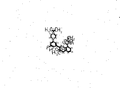 CC(C)N1CCN(c2cc(F)cc(C3Nc4c(cccc4C(=O)NS(C)(=O)=O)CC3(C)C)c2)CC1